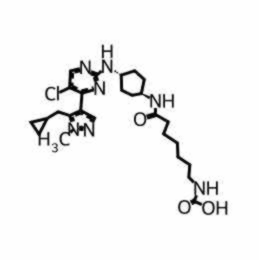 Cn1ncc(-c2nc(N[C@H]3CC[C@H](NC(=O)CCCCCCNC(=O)O)CC3)ncc2Cl)c1CC1CC1